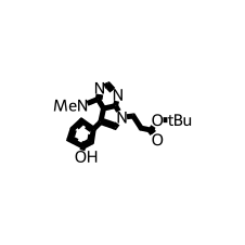 CNC1=NC=NC2C1C(c1cccc(O)c1)=CN2CCC(=O)OC(C)(C)C